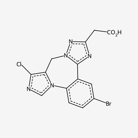 O=C(O)Cc1nc2n(n1)Cc1c(Cl)ncn1-c1ccc(Br)cc1-2